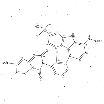 COc1ccn2c(=O)n(-c3cccc(-c4ccc(NC=O)c5[nH]c6cc(C(C)(C)O)ccc6c45)c3C)c(=O)cc2c1